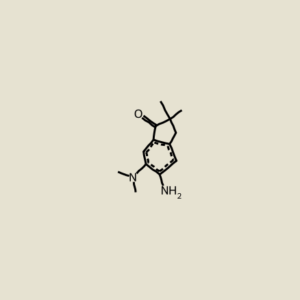 CN(C)c1cc2c(cc1N)CC(C)(C)C2=O